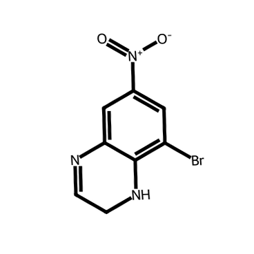 O=[N+]([O-])c1cc(Br)c2c(c1)N=CCN2